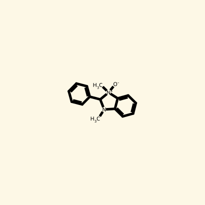 CN1c2ccccc2[N+](C)([O-])C1c1ccccc1